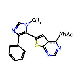 CC(=O)Nc1ncnc2sc(-c3c(-c4ccccc4)ncn3C)cc12